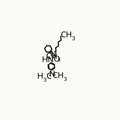 CCCCCCCN(C(=O)Nc1ccc(N(C)C)cc1)C1(C)CCCCC1